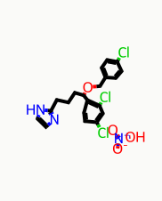 Clc1ccc(COC(CCCc2ncc[nH]2)c2ccc(Cl)cc2Cl)cc1.O=[N+]([O-])O